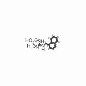 C/N=C(/NCc1cccc2ccccc12)NC(=O)O